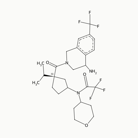 CC(C)[C@]1(C(=O)N2Cc3cc(C(F)(F)F)ccc3C(N)C2)CCC(N(C(=O)C(F)(F)F)C2CCOCC2)C1